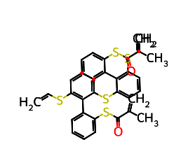 C=CSc1cccc(Sc2cccc(SC=C)c2-c2ccccc2SC(=O)C(=C)C)c1-c1ccccc1SC(=O)C(=C)C